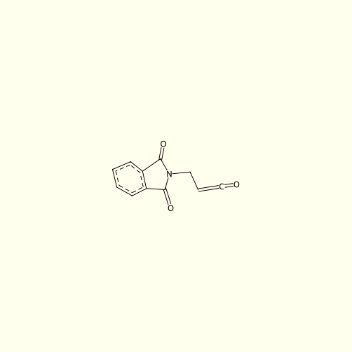 O=C=CCN1C(=O)c2ccccc2C1=O